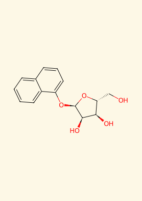 OC[C@H]1O[C@H](Oc2cccc3ccccc23)[C@H](O)[C@@H]1O